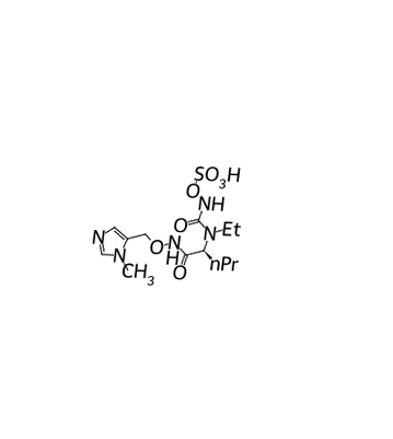 CCC[C@@H](C(=O)NOCc1cncn1C)N(CC)C(=O)NOS(=O)(=O)O